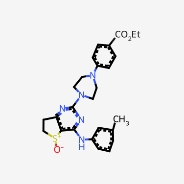 CCOC(=O)c1ccc(N2CCN(c3nc4c(c(Nc5cccc(C)c5)n3)[S+]([O-])CC4)CC2)cc1